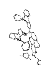 Cc1ccc(N(c2cc3ccc4ccc(N(c5ccc6c7ccccc7n(-c7ccccc7)c6c5)c5ccc6c7ccccc7n(-c7ccccc7)c6c5)c5ccc(c2)c3c45)c2ccc(C)cc2C)c(C)c1